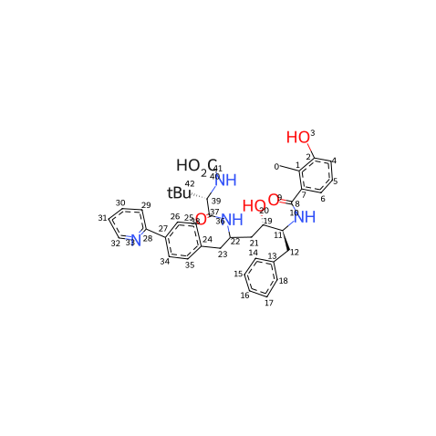 Cc1c(O)cccc1C(=O)N[C@@H](Cc1ccccc1)[C@@H](O)CC(Cc1ccc(-c2ccccn2)cc1)NC(=O)[C@@H](NC(=O)O)C(C)(C)C